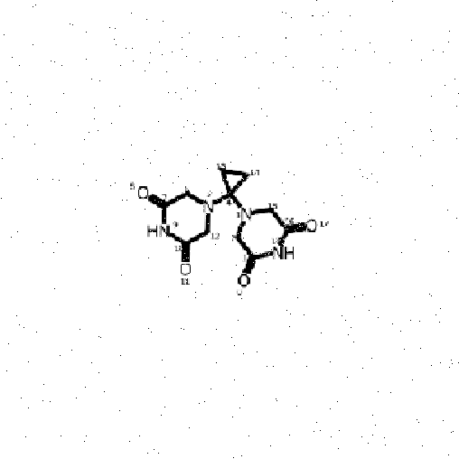 O=C1CN(C2(N3CC(=O)NC(=O)C3)CC2)CC(=O)N1